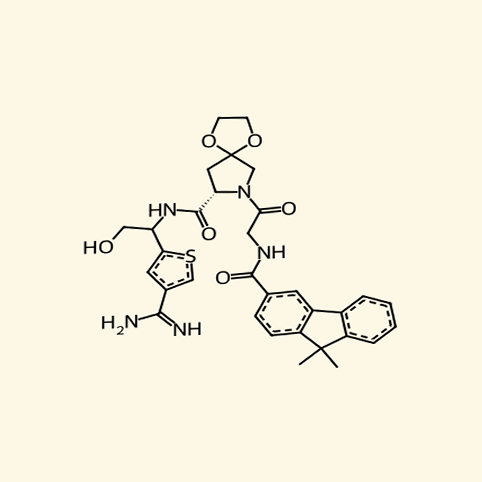 CC1(C)c2ccccc2-c2cc(C(=O)NCC(=O)N3CC4(C[C@H]3C(=O)NC(CO)c3cc(C(=N)N)cs3)OCCO4)ccc21